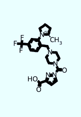 C[C@H]1CCCN1c1cc(C(F)(F)F)ccc1CN1CCN(C(=O)n2ccc(C(=O)O)n2)CC1